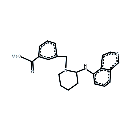 COC(=O)c1cccc(CN2CCCCC2Nc2cccc3cnccc23)c1